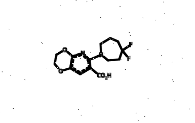 O=C(O)c1cc2c(nc1N1CCCC(F)(F)CC1)OCCO2